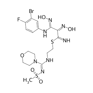 CS(=O)(=O)/N=C(/NCCSC(=N)C(=N\O)/C(=N/O)Nc1ccc(F)c(Br)c1)N1CCOCC1